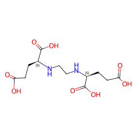 O=C(O)CC[C@H](NCCN[C@@H](CCC(=O)O)C(=O)O)C(=O)O